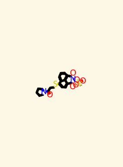 CS(=O)(=O)ON1C(=O)c2cccc3c(SCCC(=O)N4CCCCC4)ccc(c23)C1=O